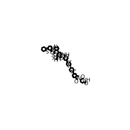 [2H]C([2H])([2H])n1cc(-c2ccnc(N3CCc4c(sc5c4CCCC5)C3=O)c2CO)cc(Nc2ccc(N3CCN([C@H]4CCN(c5ccc6c(c5)CN(C5CCC(=O)NC5=O)C6=O)[C@H](C)C4)C[C@@H]3C)cn2)c1=O